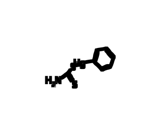 NC(=S)[S][Hg][c]1ccccc1